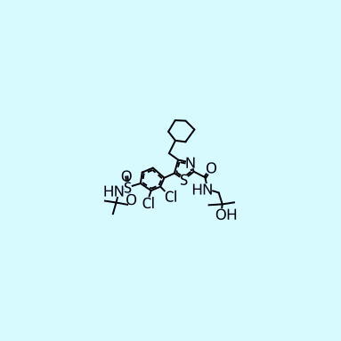 CC(C)(O)CNC(=O)c1nc(CC2CCCCC2)c(-c2ccc(S(=O)(=O)NC(C)(C)C)c(Cl)c2Cl)s1